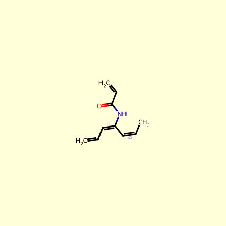 C=C/C=C(\C=C/C)NC(=O)C=C